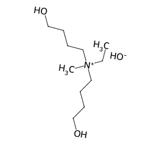 CC[N+](C)(CCCCO)CCCCO.[OH-]